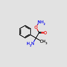 CC(N)(C(=O)ON)c1ccccc1